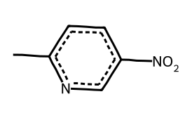 Cc1ccc([N+](=O)[O-])cn1